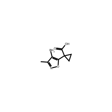 Bc1c(C)noc1C1(C(=O)O)CC1